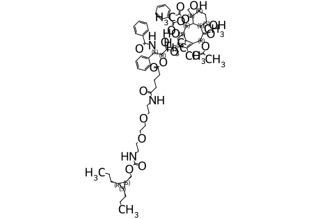 CCC[C@@H]1[C@H](CCC)[C@@H]1COC(=O)NCCOCCOCCNC(=O)CCCC(=O)O[C@@H](C(=O)O[C@H]1C[C@@]2(O)[C@@H](OC(=O)c3ccccc3)C3[C@](C)(C(=O)[C@H](OC(C)=O)C(=C1C)C2(C)C)[C@@H](O)C[C@H]1OC[C@@]31OC(C)=O)[C@@H](NC(=O)c1ccccc1)c1ccccc1